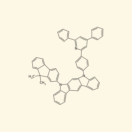 CC1(C)c2ccccc2-c2ccc(-n3c4ccccc4c4cc5c6ccccc6n(-c6ccc(-c7cc(-c8ccccc8)cc(-c8ccccc8)n7)cc6)c5cc43)cc21